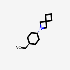 N#CC[C@H]1CC[C@H](N2CC3(CCC3)C2)CC1